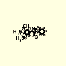 COc1cc(-c2nc3sc4c(n3c2C=O)CCCC4)cc(OC)c1OC